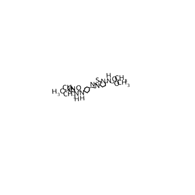 COC(CNc1ccc2c(n1)sc1nc(-c3ccc(NC(=O)Nc4cc(C(C)(C)C)on4)cc3)cn12)OC